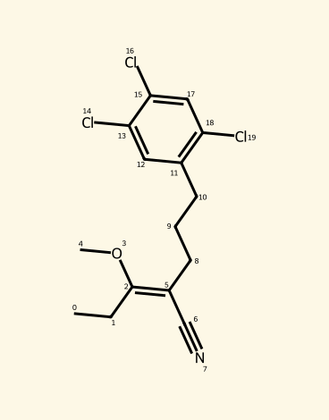 CCC(OC)=C(C#N)CCCc1cc(Cl)c(Cl)cc1Cl